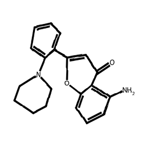 Nc1cccc2oc(-c3ccccc3N3CCCCC3)cc(=O)c12